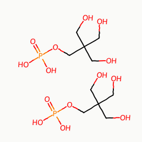 O=P(O)(O)OCC(CO)(CO)CO.O=P(O)(O)OCC(CO)(CO)CO